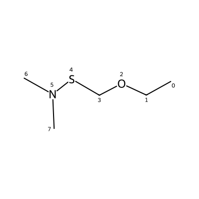 CCOCSN(C)C